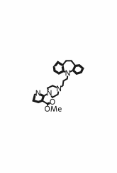 COC(=O)c1cccnc1N1CCN(CCCN2c3ccccc3CCc3ccccc32)CC1